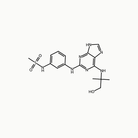 CC(C)(CO)Nc1nc(Nc2cccc(NS(C)(=O)=O)c2)nc2[nH]cnc12